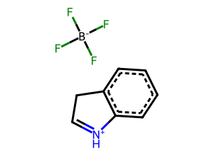 C1=[NH+]c2ccccc2C1.F[B-](F)(F)F